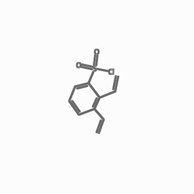 C=Cc1cccc(S(=O)(=O)Cl)c1C=C